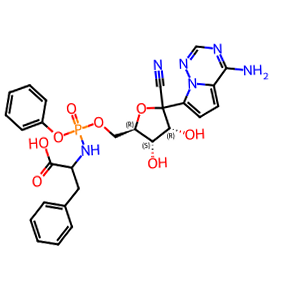 N#CC1(c2ccc3c(N)ncnn23)O[C@H](COP(=O)(NC(Cc2ccccc2)C(=O)O)Oc2ccccc2)[C@@H](O)[C@H]1O